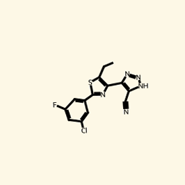 CCc1sc(-c2cc(F)cc(Cl)c2)nc1-c1nn[nH]c1C#N